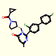 Cc1cc(=O)n(C[C@@H]2CCN(C(=O)C3CC3)C2)c(-c2ccc(-c3ccc(F)cc3)cc2F)n1